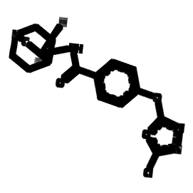 O=C(N[C@H]1CN2CCC1CC2)c1ccc(Oc2nnc(Cl)o2)cc1